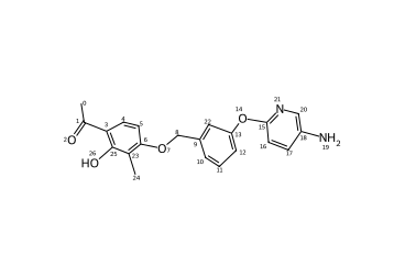 CC(=O)c1ccc(OCc2cccc(Oc3ccc(N)cn3)c2)c(C)c1O